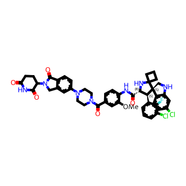 COc1cc(C(=O)N2CCN(c3ccc4c(c3)CN(C3CCC(=O)NC3=O)C4=O)CC2)ccc1NC(=O)[C@@H]1NC2(CCC2)[C@@]2(CNc3cc(Cl)ccc32)[C@H]1c1cccc(Cl)c1F